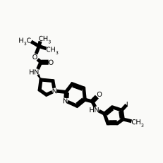 Cc1ccc(NC(=O)c2ccc(N3CC[C@@H](NC(=O)OC(C)(C)C)C3)nc2)cc1I